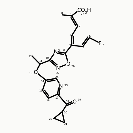 C\C(=C/C=C(\C=C\F)c1nc(C(C)Oc2ccc(C(=O)C3CC3)nc2)no1)C(=O)O